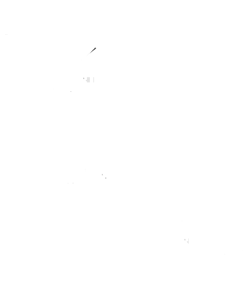 C[C@@H](NC(=O)c1ccc2c(=O)n(-c3ccc(F)cc3)c(CCCCC(=O)NS(=O)(=O)C3CC3)cc2c1)c1ccc(F)cc1